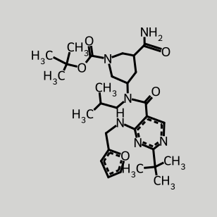 CC(C)CN(C(=O)c1cnc(C(C)(C)C)nc1NCc1ccco1)C1CC(C(N)=O)CN(C(=O)OC(C)(C)C)C1